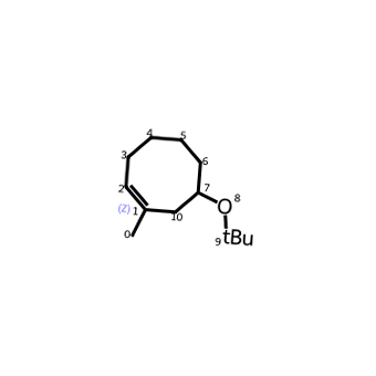 C/C1=C/CCCCC(OC(C)(C)C)C1